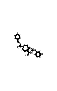 O=C(OCc1ccccc1)N1CCc2nc(Cc3ccccc3)nc(Cl)c2CC1